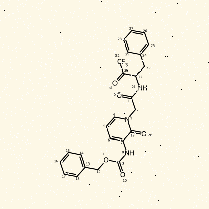 O=C(Cn1cccc(NC(=O)OCc2ccccc2)c1=O)NC(Cc1ccccc1)C(=O)C(F)(F)F